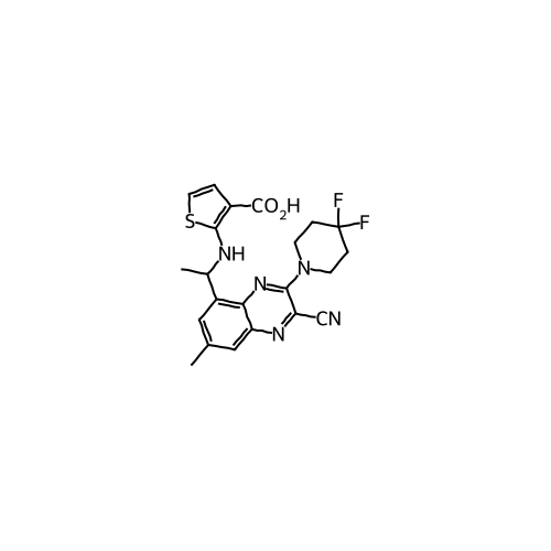 Cc1cc(C(C)Nc2sccc2C(=O)O)c2nc(N3CCC(F)(F)CC3)c(C#N)nc2c1